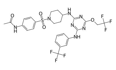 CC(=O)Nc1ccc(S(=O)(=O)N2CCC(Nc3nc(Nc4cccc(C(F)(F)F)c4)nc(OCC(F)(F)F)n3)CC2)cc1